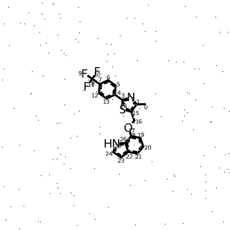 Cc1nc(-c2ccc(C(F)(F)F)cc2)sc1COc1cccc2cc[nH]c12